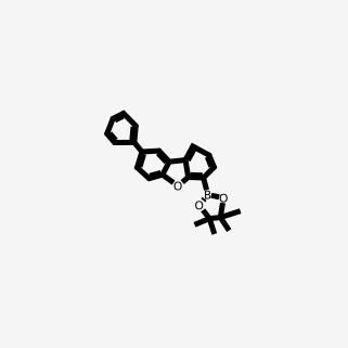 CC1(C)OB(c2cccc3c2oc2ccc(-c4ccccc4)cc23)OC1(C)C